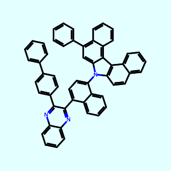 c1ccc(-c2ccc(-c3nc4ccccc4nc3-c3ccc(-n4c5ccc6ccccc6c5c5c6ccccc6c(-c6ccccc6)cc54)c4ccccc34)cc2)cc1